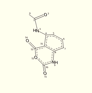 CC(=O)Nc1cccc2[nH]c(=O)oc(=O)c12